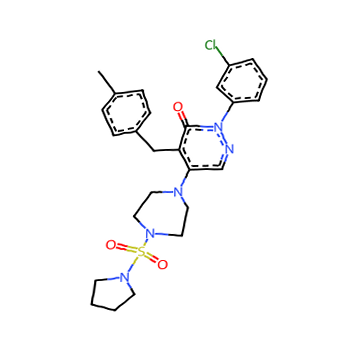 Cc1ccc(Cc2c(N3CCN(S(=O)(=O)N4CCCC4)CC3)cnn(-c3cccc(Cl)c3)c2=O)cc1